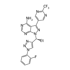 CC[C@@H](c1cn(-c2ccccc2F)nn1)n1nc(-c2cnc(C(F)(F)F)nc2)c2c(N)ncnc21